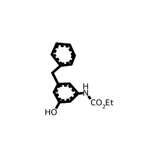 CCOC(=O)Nc1cc(O)cc(Cc2ccccc2)c1